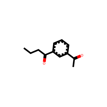 CCCC(=O)c1cccc(C(C)=O)c1